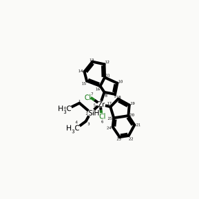 CC[SiH](CC)[Zr]([Cl])([Cl])([CH]1C=Cc2ccccc21)[CH]1C=Cc2ccccc21